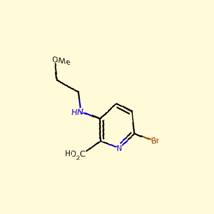 COCCNc1ccc(Br)nc1C(=O)O